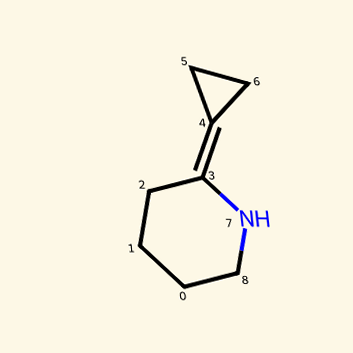 C1CCC(=C2CC2)NC1